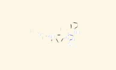 COc1ccccc1Nc1nc(N)n(-c2ccc(C(=O)NCCN(C)C)cc2)n1